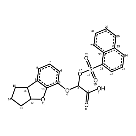 O=C(O)C(Oc1cccc2c1OC1CCCC21)OS(=O)(=O)c1cccc2ccccc12